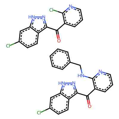 O=C(c1cccnc1Cl)c1n[nH]c2cc(Cl)ccc12.O=C(c1cccnc1NCc1ccccc1)c1n[nH]c2cc(Cl)ccc12